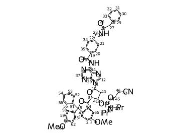 COc1ccc(C(OC[C@H]2O[C@@H](n3cnc4c(NC(=O)c5ccc(CNC(=O)Cc6ccccc6)cc5)ncnc43)C[C@H]2OP(OCCC#N)N(C(C)C)C(C)C)(c2ccccc2)c2ccc(OC)cc2)cc1